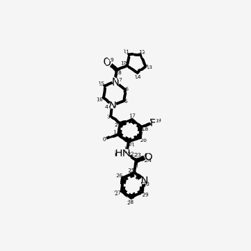 Cc1c(CN2CCN(C(=O)C3CCCC3)CC2)cc(F)cc1NC(=O)c1ccccn1